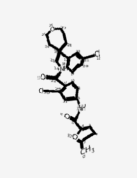 Cc1ccc(C(=O)Nc2ccc(C(=O)NCC3(c4cccc(Cl)c4)CCOCC3)c(Cl)c2)o1